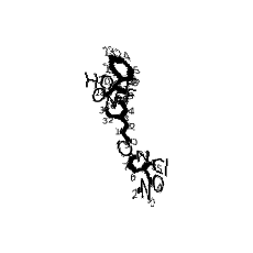 CN(C)C(=O)c1ccc(OCCCC2CCN(C(=O)[C@](O)(c3ccccc3)C(F)(F)F)CC2)nc1Cl